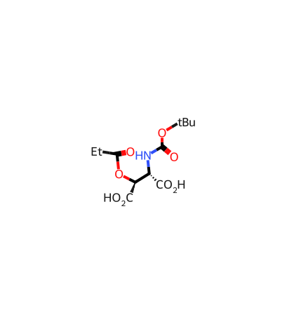 CCC(=O)O[C@H](C(=O)O)[C@H](NC(=O)OC(C)(C)C)C(=O)O